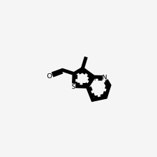 Cc1c(C=O)sc2cccnc12